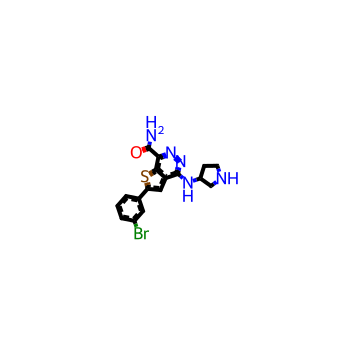 NC(=O)c1nnc(NC2CCNC2)c2cc(-c3cccc(Br)c3)sc12